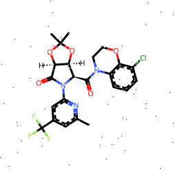 Cc1cc(C(F)(F)F)cc(N2C(=O)[C@H]3OC(C)(C)O[C@H]3[C@H]2C(=O)N2CCOc3c(Cl)cccc32)n1